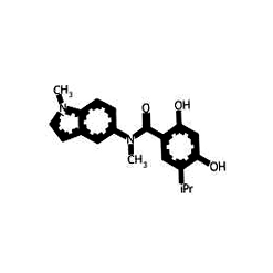 CC(C)c1cc(C(=O)N(C)c2ccc3c(ccn3C)c2)c(O)cc1O